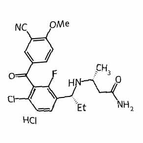 CC[C@@H](N[C@H](C)CC(N)=O)c1ccc(Cl)c(C(=O)c2ccc(OC)c(C#N)c2)c1F.Cl